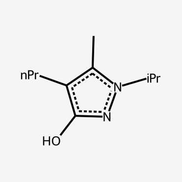 CCCc1c(O)nn(C(C)C)c1C